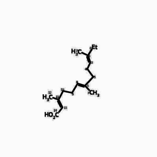 CCC(C)=CCCC(C)=CCCC(C)=CC(=O)O